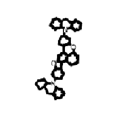 C1=CC2=C(CC1)Cc1ccccc1N2c1ccc2c(c1)oc1cc3c4c(cccc4c12)OC1=C3CCC(N2c3ccccc3Cc3ccccc32)=C1